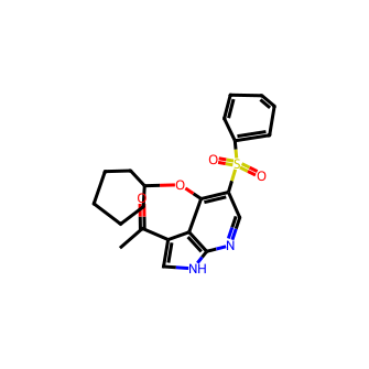 CC(=O)c1c[nH]c2ncc(S(=O)(=O)c3ccccc3)c(OC3CCCCC3)c12